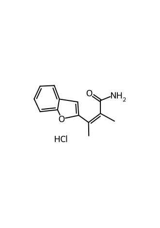 CC(C(N)=O)=C(C)c1cc2ccccc2o1.Cl